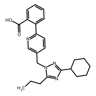 CCCc1nc(C2CCCCC2)nn1Cc1ccc(-c2ccccc2C(=O)O)nc1